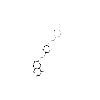 CN1CCC(CNc2ccc(CNc3ccc4cncc(Cl)c4c3)cn2)CC1